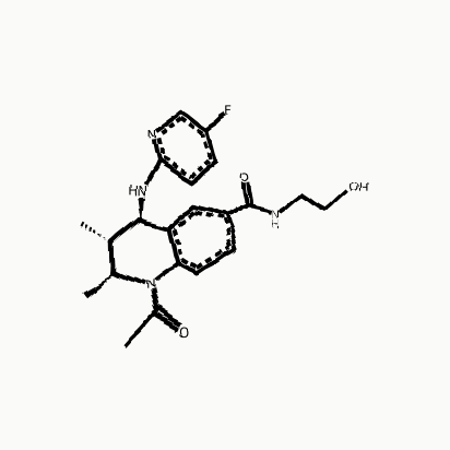 CC(=O)N1c2ccc(C(=O)NCCO)cc2[C@H](Nc2ccc(F)cn2)[C@@H](C)[C@@H]1C